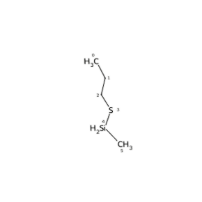 CCCS[SiH2]C